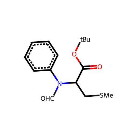 CSCC(C(=O)OC(C)(C)C)N(C=O)c1cc[c]cc1